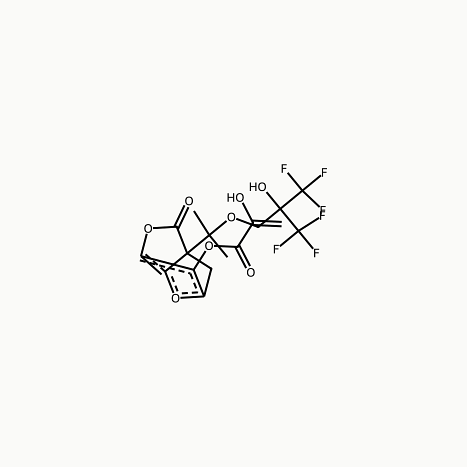 C=C(O)C(=O)Oc1c2oc3c1OC(=O)C3(C(C)(C)OCC(O)(C(F)(F)F)C(F)(F)F)C2